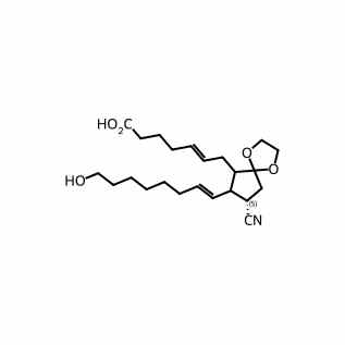 N#C[C@H]1CC2(OCCO2)C(CC=CCCCC(=O)O)C1C=CCCCCCCO